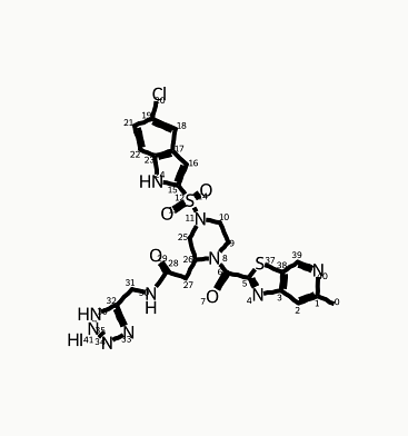 Cc1cc2nc(C(=O)N3CCN(S(=O)(=O)c4cc5cc(Cl)ccc5[nH]4)CC3CC(=O)NCc3nnn[nH]3)sc2cn1.I